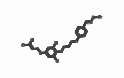 CC(C)O/N=C/c1ccc(OCCCOc2c(Cl)cc(OCC=C(Cl)Cl)cc2Cl)cc1